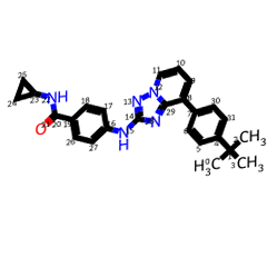 CC(C)(C)c1ccc(-c2cccn3nc(Nc4ccc(C(=O)NC5CC5)cc4)nc23)cc1